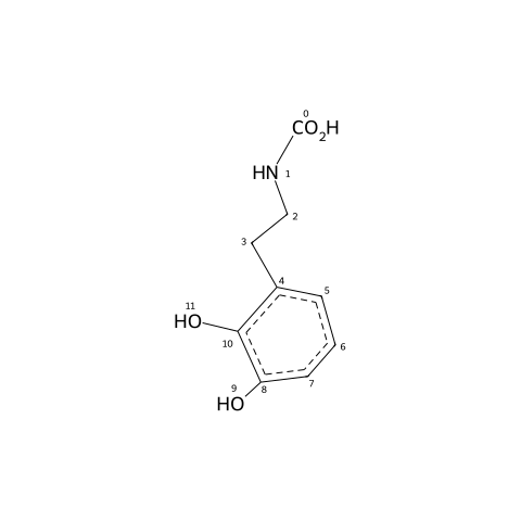 O=C(O)NCCc1cccc(O)c1O